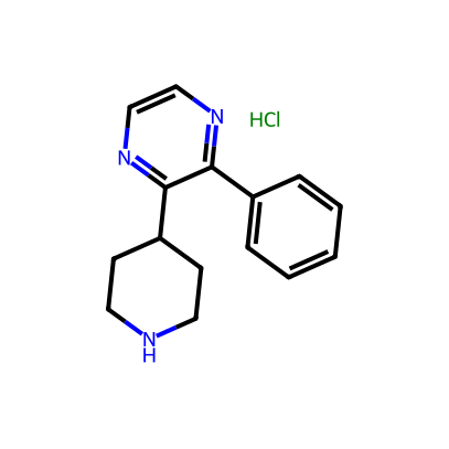 Cl.c1ccc(-c2nccnc2C2CCNCC2)cc1